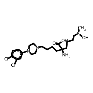 CB(O)CCCCC(N)(CCCCN1CCN(c2ccc(Cl)c(Cl)c2)CC1)C(=O)O